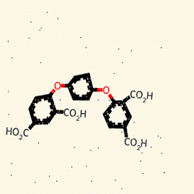 O=C(O)c1ccc(Oc2ccc(Oc3ccc(C(=O)O)cc3C(=O)O)cc2)c(C(=O)O)c1